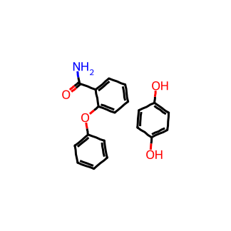 NC(=O)c1ccccc1Oc1ccccc1.Oc1ccc(O)cc1